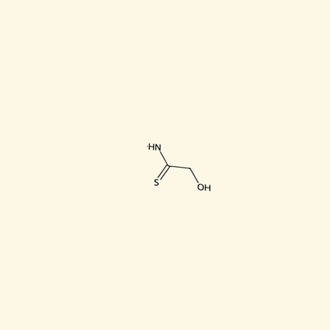 [NH]C(=S)CO